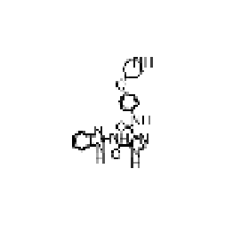 O=C(Nc1ccc(OC2CCNCC2)cc1)c1nc[nH]c1C(=O)Nc1nc2ccccc2[nH]1